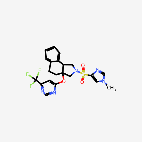 Cn1cnc(S(=O)(=O)N2CC3c4ccccc4CCC3(Oc3cc(C(F)(F)F)ncn3)C2)c1